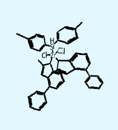 CC1=Cc2c(-c3ccccc3)cccc2[CH]1[Zr]([Cl])([Cl])([CH]1C(C)=Cc2c(-c3ccccc3)cccc21)[SiH](c1ccc(C)cc1)c1ccc(C)cc1